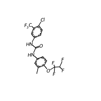 Cc1cc(NC(=O)Nc2ccc(Cl)c(C(F)(F)F)c2)ccc1OC(F)(F)C(F)F